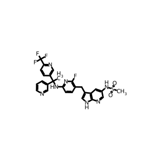 CC(Nc1ccc(Cc2c[nH]c3ncc(NS(C)(=O)=O)cc23)c(F)n1)(c1cccnc1)c1ccc(C(F)(F)F)nc1